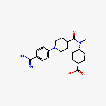 CN(C(=O)C1CCN(c2ccc(C(=N)N)cc2)CC1)[C@H]1CC[C@H](C(=O)O)CC1